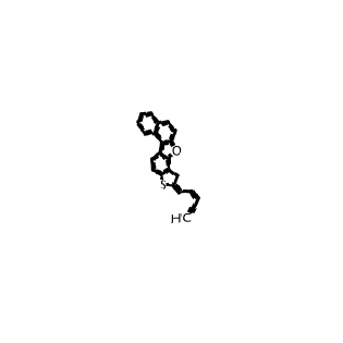 C#C/C=C\C=C1/Cc2c(ccc3c2oc2ccc4ccccc4c23)S1